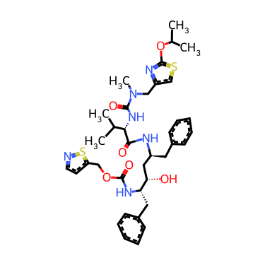 CC(C)Oc1nc(CN(C)C(=O)N[C@H](C(=O)N[C@@H](Cc2ccccc2)C[C@H](O)[C@H](Cc2ccccc2)NC(=O)OCc2ccns2)C(C)C)cs1